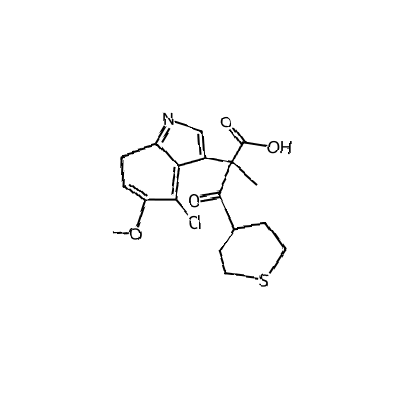 COC1=CCC2=NC=C(C(C)(C(=O)O)C(=O)C3CCSCC3)C2=C1Cl